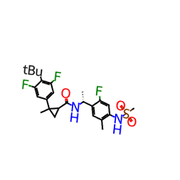 Cc1cc([C@@H](C)NC(=O)C2CC2(C)c2cc(F)c(C(C)(C)C)c(F)c2)c(F)cc1NS(C)(=O)=O